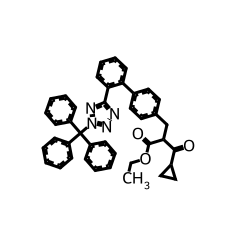 CCOC(=O)C(Cc1ccc(-c2ccccc2-c2nnn(C(c3ccccc3)(c3ccccc3)c3ccccc3)n2)cc1)C(=O)C1CC1